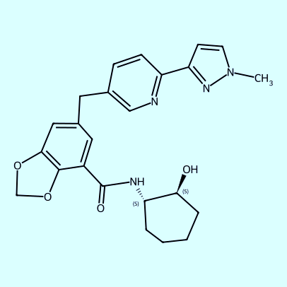 Cn1ccc(-c2ccc(Cc3cc4c(c(C(=O)N[C@H]5CCCC[C@@H]5O)c3)OCO4)cn2)n1